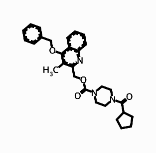 Cc1c(COC(=O)N2CCN(C(=O)C3CCCC3)CC2)nc2ccccc2c1OCc1ccccc1